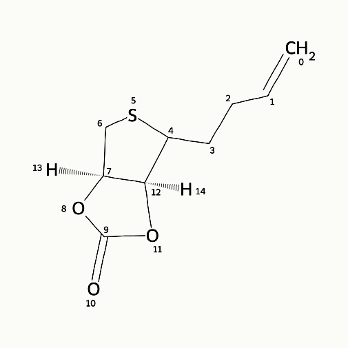 C=CCCC1SC[C@@H]2OC(=O)O[C@H]12